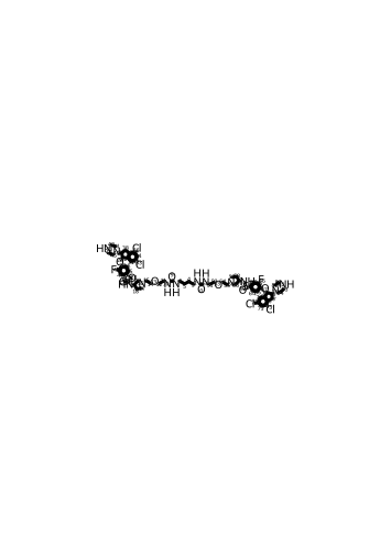 O=C(NCCCCNC(=O)NCCOCCN1CC[C@@H](NS(=O)(=O)c2ccc(O[C@H]3c4cc(Cl)cc(Cl)c4C[C@@H]3N3CCNCC3)c(F)c2)C1)NCCOCCN1CC[C@@H](N[S+]([O-])c2ccc(O[C@H]3c4cc(Cl)cc(Cl)c4C[C@@H]3N3CCNCC3)c(F)c2)C1